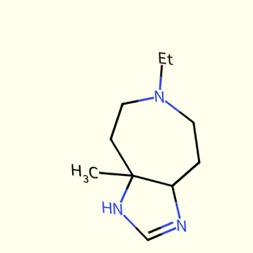 CCN1CCC2N=CNC2(C)CC1